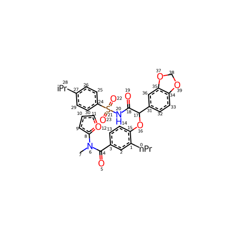 CCCc1cc(C(=O)N(C)c2ccco2)ccc1OC(C(=O)NS(=O)(=O)c1ccc(C(C)C)cc1)c1ccc2c(c1)OCO2